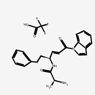 C[C@H](N)C(=O)N[C@H](/C=C/C(=O)n1ccc2ccccc21)CCc1ccccc1.O=C(O)C(F)(F)F